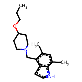 CCCOC1CCN(Cc2c(C)cc(C)c3[nH]ccc23)CC1